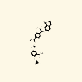 CC[C@@H](COC(=O)Nc1ccc(S(=O)(=O)C2CC2)c(CNC)c1)c1ccc(C(Nc2ccc3cc[nH]c(=O)c3c2)C(=O)O)cc1